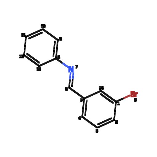 Brc1cccc(C=Nc2ccccc2)c1